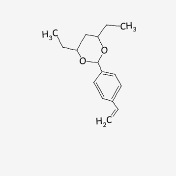 C=Cc1ccc(C2OC(CC)CC(CC)O2)cc1